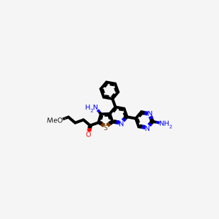 COCCCC(=O)c1sc2nc(-c3cnc(N)nc3)cc(-c3ccccc3)c2c1N